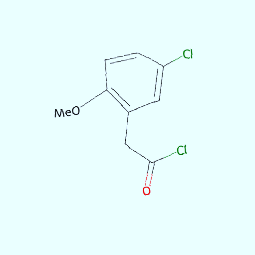 COc1ccc(Cl)cc1CC(=O)Cl